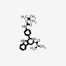 CN(C)C(=O)[C@H]1Cc2c([nH]c3ccccc23)C(c2ccc(NC(=O)OC(C)(C)C)cc2)N1